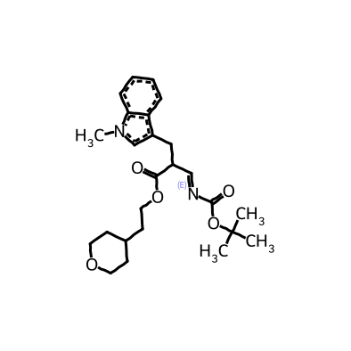 Cn1cc(CC(/C=N/C(=O)OC(C)(C)C)C(=O)OCCC2CCOCC2)c2ccccc21